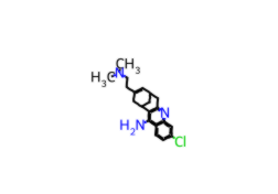 CN(C)CCC1=CC2Cc3nc4cc(Cl)ccc4c(N)c3C(C1)C2